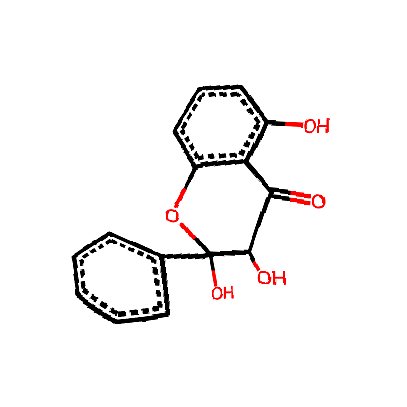 O=C1c2c(O)cccc2OC(O)(c2ccccc2)C1O